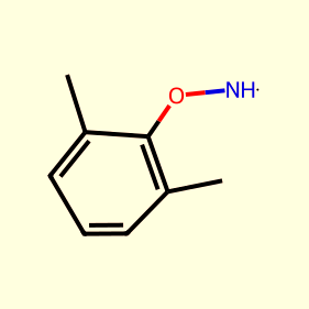 Cc1cccc(C)c1O[NH]